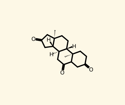 C[C@]12CC[C@H]3[C@@H](CC(=O)C4CC(=O)CC[C@@]43C)[C@@H]1CC(=O)C2